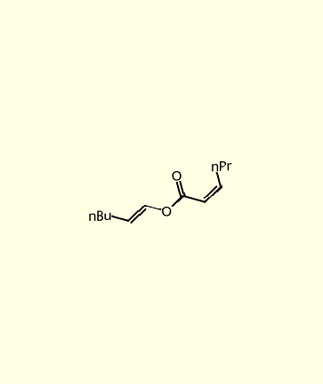 CCC/C=C\C(=O)O/C=C/CCCC